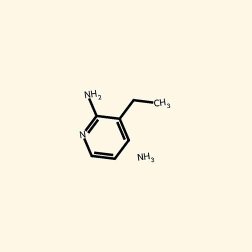 CCc1cccnc1N.N